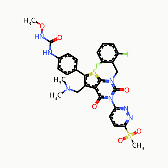 CONC(=O)Nc1ccc(-c2sc3c(c2CN(C)C)c(=O)n(-c2ccc(S(C)(=O)=O)nn2)c(=O)n3Cc2c(F)cccc2F)cc1